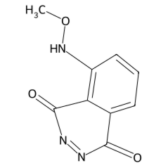 CONc1cccc2c1C(=O)N=NC2=O